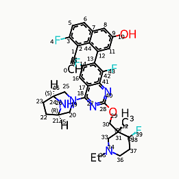 C#Cc1c(F)ccc2cc(O)cc(-c3c(F)cc4c(N5C[C@H]6CC[C@@H](C5)N6)nc(OC[C@@]5(C)CN(CC)CC[C@@H]5F)nc4c3F)c12